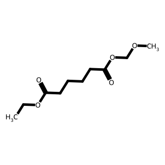 CCOC(=O)CCCCC(=O)OCOC